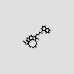 Cc1c(CCCOc2cccc3ccccc23)c2cccc3c2n1CCCCOCc1nn(C)c(O)c1-3